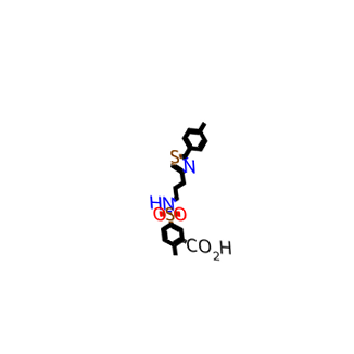 Cc1ccc(-c2nc(CCCNS(=O)(=O)c3ccc(C)c(C(=O)O)c3)cs2)cc1